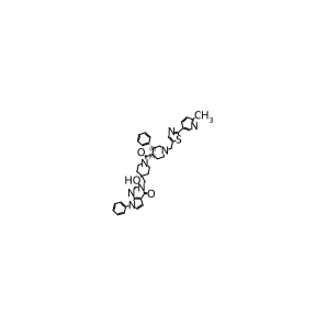 Cc1ccc(-c2ncc(CN3CC[C@@H](C(=O)N4CCC(O)(Cn5cnc6c(ccn6-c6ccccc6)c5=O)CC4)[C@H](c4ccccc4)C3)s2)cn1